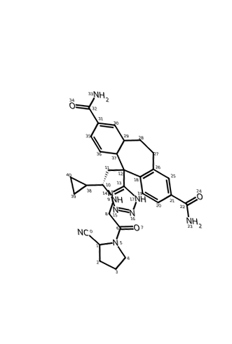 N#CC1CCCN1C(=O)CN[C@@H](CC1(c2nnn[nH]2)c2ccc(C(N)=O)cc2CCC2C=C(C(N)=O)C=CC21)C1CC1